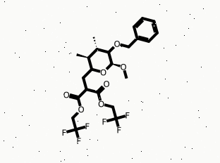 CO[C@H]1OC(CC(C(=O)OCC(F)(F)F)C(=O)OCC(F)(F)F)[C@@H](C)[C@H](C)C1OCc1ccccc1